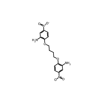 Nc1cc([N+](=O)[O-])ccc1OCCCCOc1ccc([N+](=O)[O-])cc1N